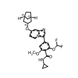 COc1cc(-c2cnc3cc(O[C@H]4C[C@@H]5CC[C@@H](C5)C4)ccn23)cc(OC(F)F)c1C(=O)NC1CC1